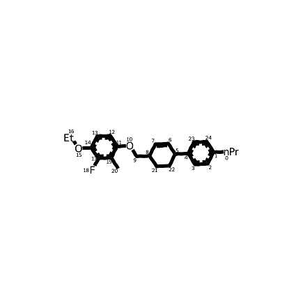 CCCc1ccc(C2C=CC(COc3ccc(OCC)c(F)c3C)CC2)cc1